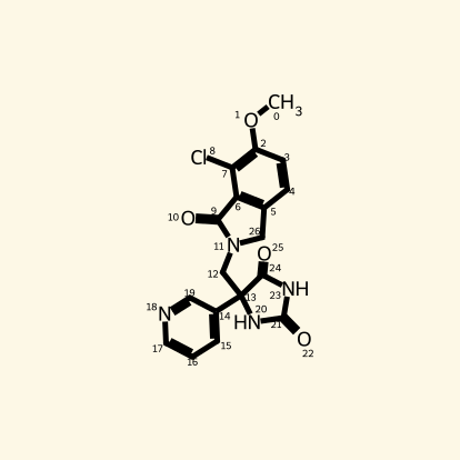 COc1ccc2c(c1Cl)C(=O)N(CC1(c3cccnc3)NC(=O)NC1=O)C2